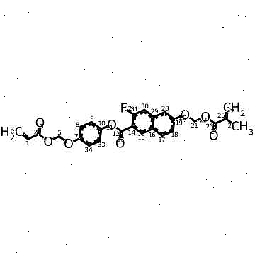 C=CC(=O)OCOc1ccc(OC(=O)c2cc3ccc(OCOC(=O)C(=C)C)cc3cc2F)cc1